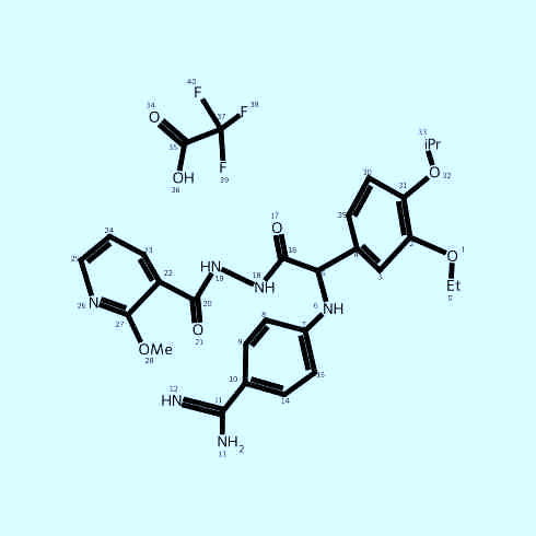 CCOc1cc(C(Nc2ccc(C(=N)N)cc2)C(=O)NNC(=O)c2cccnc2OC)ccc1OC(C)C.O=C(O)C(F)(F)F